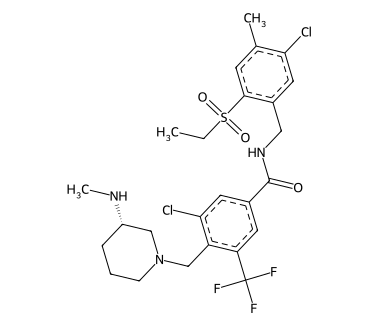 CCS(=O)(=O)c1cc(C)c(Cl)cc1CNC(=O)c1cc(Cl)c(CN2CCC[C@H](NC)C2)c(C(F)(F)F)c1